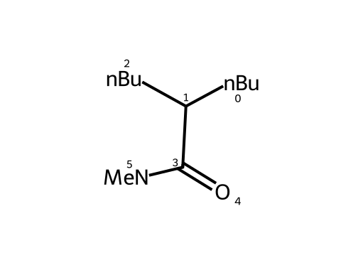 CCCCC(CCCC)C(=O)NC